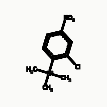 C[N+](C)(C)c1ccc([N+](=O)[O-])cc1Cl